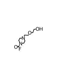 O=C(F)N1CCN(CCOCCO)CC1